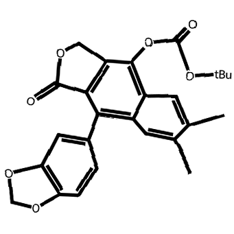 Cc1cc2c(OC(=O)OC(C)(C)C)c3c(c(-c4ccc5c(c4)OCO5)c2cc1C)C(=O)OC3